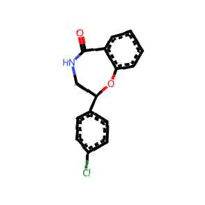 O=C1NCC(c2ccc(Cl)cc2)Oc2ccccc21